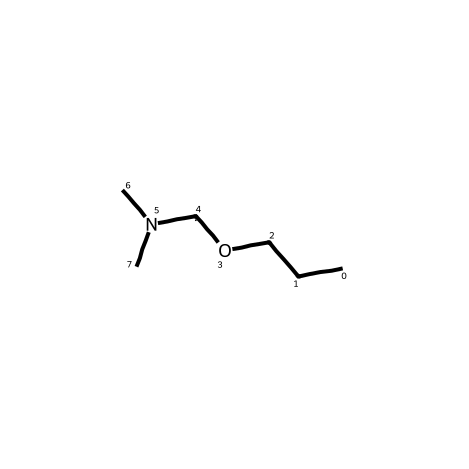 CCCO[CH]N(C)C